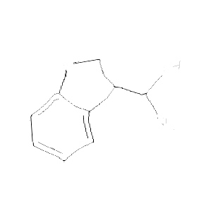 CC(N)C1COc2ccccc21